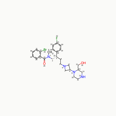 CN(C[C@@H](CCN1CC(N2CCNCC2CO)C1)c1ccc(F)cc1)C(=O)c1ccccc1Br